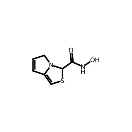 O=C(NO)C1SC=C2C=CCN21